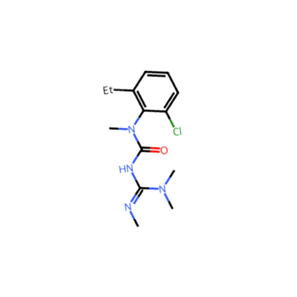 CCc1cccc(Cl)c1N(C)C(=O)NC(=NC)N(C)C